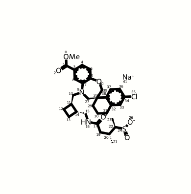 COC(=O)c1ccc2c(c1)N(C[C@@H]1CC[C@H]1CNC(=O)C[C@@H](C)[C@@H](C)S(=O)[O-])C[C@@]1(CCCc3cc(Cl)ccc31)CO2.[Na+]